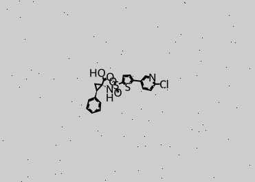 O=C(O)[C@]1(NS(=O)(=O)c2ccc(-c3ccc(Cl)nc3)s2)C[C@@H]1c1ccccc1